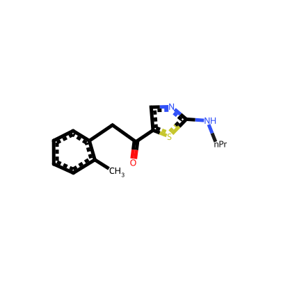 CCCNc1ncc(C(=O)Cc2ccccc2C)s1